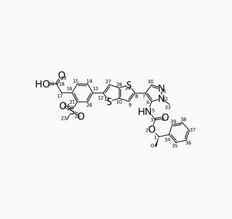 C[C@@H](OC(=O)Nc1c(-c2cc3sc(-c4ccc(CC(=O)O)c(S(C)(=O)=O)c4)cc3s2)cnn1C)c1ccccc1